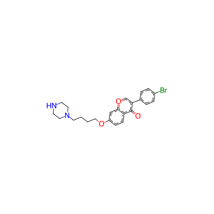 O=c1c(-c2ccc(Br)cc2)coc2cc(OCCCCN3CCNCC3)ccc12